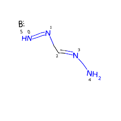 N=NC=NN.[B]